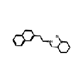 CCN1CCCCC1CNCCc1ccc2ccccc2c1